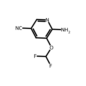 N#Cc1cnc(N)c(OC(F)F)c1